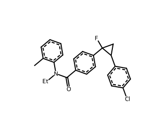 CCN(C(=O)c1ccc(C2(F)CC2c2ccc(Cl)cc2)cc1)c1ccccc1C